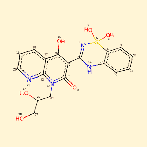 O=c1c(C2=NS(O)(O)c3ccccc3N2)c(O)c2cccnc2n1CC(O)CO